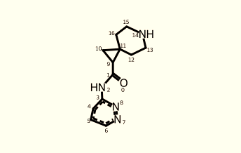 O=C(Nc1cccnn1)C1CC12CCNCC2